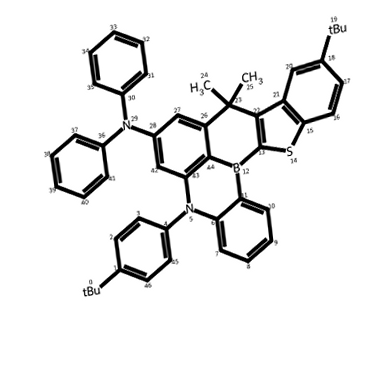 CC(C)(C)c1ccc(N2c3ccccc3B3c4sc5ccc(C(C)(C)C)cc5c4C(C)(C)c4cc(N(c5ccccc5)c5ccccc5)cc2c43)cc1